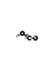 [C-]#[N+]c1cccc(-c2nc3c(o2)CCN(c2ccccn2)C3)c1